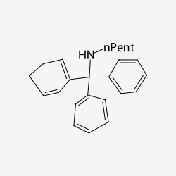 CCCCCNC(C1=CCCC=C1)(c1ccccc1)c1ccccc1